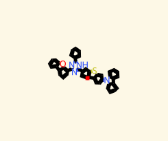 c1ccc(C2N=C(c3cccc4c3oc3ccccc34)N=C(c3ccc4c(c3)sc3cc(-n5c6ccccc6c6ccccc65)ccc34)N2)cc1